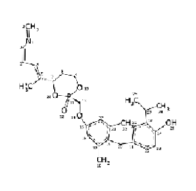 C=N/C=C\C=C(/C)[C@@H]1CCO[P@@](=O)(COc2cc(C)c(Cc3ccc(O)c(C(C)C)c3)c(C)c2)O1